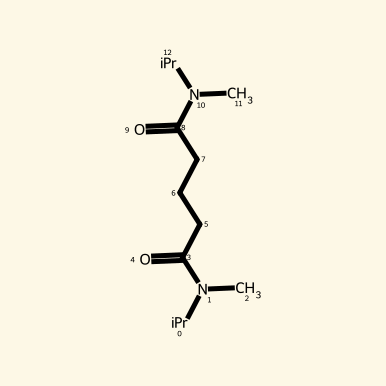 CC(C)N(C)C(=O)CCCC(=O)N(C)C(C)C